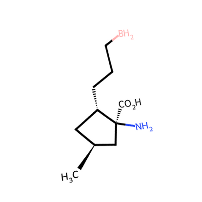 BCCC[C@H]1C[C@H](C)C[C@@]1(N)C(=O)O